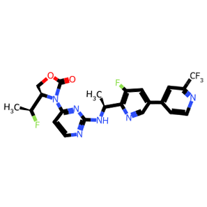 C[C@H](Nc1nccc(N2C(=O)OC[C@@H]2[C@H](C)F)n1)c1ncc(-c2ccnc(C(F)(F)F)c2)cc1F